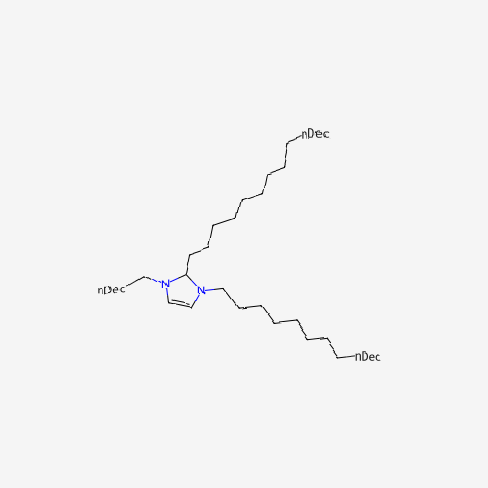 CCCCCCCCCCCCCCCCCCCC1N(CCCCCCCCCCC)C=CN1CCCCCCCCCCCCCCCCCC